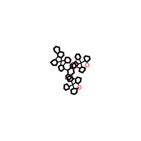 c1ccc(C2(c3ccccc3)c3ccccc3Oc3cccc(-c4cccc5c(-c6cccc7c6-c6ccccc6C76c7ccccc7-c7c6ccc6ccccc76)c6cccc(-c7cccc8c7C(c7ccccc7)(c7ccccc7)c7ccccc7O8)c6cc45)c32)cc1